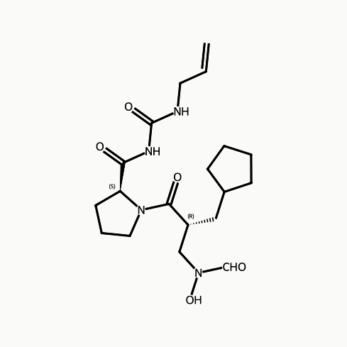 C=CCNC(=O)NC(=O)[C@@H]1CCCN1C(=O)[C@H](CC1CCCC1)CN(O)C=O